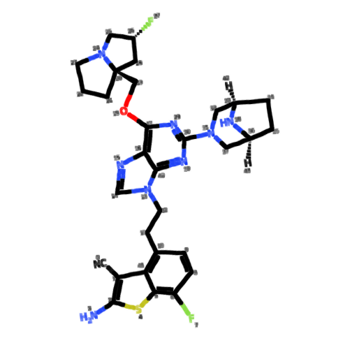 N#Cc1c(N)sc2c(F)ccc(CCn3cnc4c(OC[C@@]56CCCN5C[C@H](F)C6)nc(N5C[C@H]6CC[C@@H](C5)N6)nc43)c12